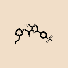 CCCc1cccc(NC(=O)c2nc(-c3ccc(S(C)(=O)=O)cc3)cnc2N)c1